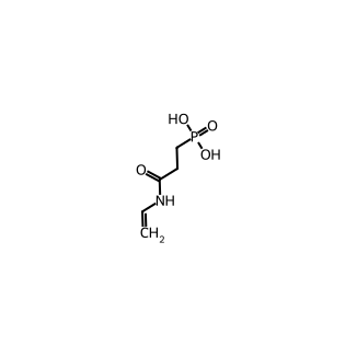 C=CNC(=O)CCP(=O)(O)O